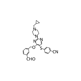 N#Cc1ccc(Sc2cnc(N3CCN(CC4CC4)CC3)nc2OCc2cccc(C=O)c2)cc1